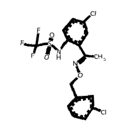 C/C(=N\OCc1cccc(Cl)c1)c1cc(Cl)ccc1NS(=O)(=O)C(F)(F)F